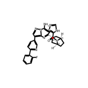 Nc1cc([C@@H]2C[C@H]3CC[C@@H](C2)N3C(=O)c2nnc[nH]2)nc2c(-c3ccc(-c4ccccc4F)nc3)cnn12